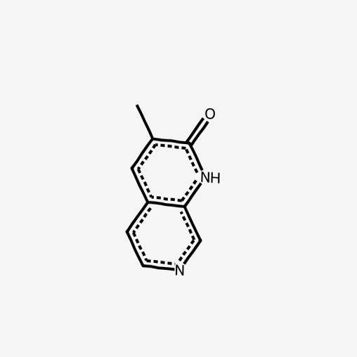 Cc1cc2ccncc2[nH]c1=O